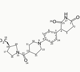 O=C1CCC(c2ccc(N3CCC(C(=O)N4CC[C@@H](C(=O)O)C4)CC3)cc2)C(=O)N1